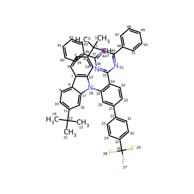 CC(C)(C)c1ccc2c3ccc(C(C)(C)C)cc3n(-c3cc(-c4ccc(C(F)(F)F)cc4)ccc3-c3nc(-c4ccccc4)nc(-c4ccccc4)n3)c2c1